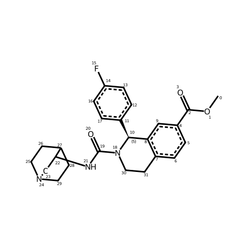 COC(=O)c1ccc2c(c1)[C@H](c1ccc(F)cc1)N(C(=O)NC1CN3CCC1CC3)CC2